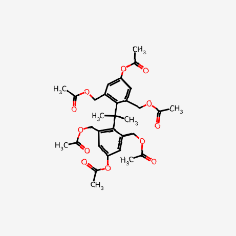 CC(=O)OCc1cc(OC(C)=O)cc(COC(C)=O)c1C(C)(C)c1c(COC(C)=O)cc(OC(C)=O)cc1COC(C)=O